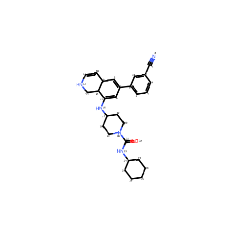 N#Cc1cccc(C2=CC3C=CNCC3C(NC3CCN(C(=O)NC4CCCCC4)CC3)=C2)c1